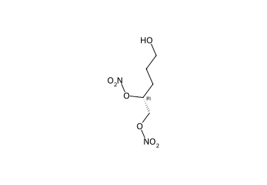 O=[N+]([O-])OC[C@@H](CCCO)O[N+](=O)[O-]